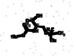 C[C@@H](O)[C@@H](CO[Si](C)(C)C(C)(C)C)NC(=O)OC(C)(C)C